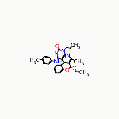 CCCn1c2c(c(Nc3ccc(C)cc3)nc1=O)C(c1ccccc1)C(C(=O)OCC)=C(C)N2